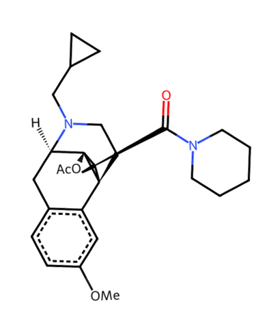 COc1ccc2c(c1)[C@]13CCN(CC4CC4)[C@H](C2)[C@]1(OC(C)=O)C[C@H](C(=O)N1CCCCC1)C3